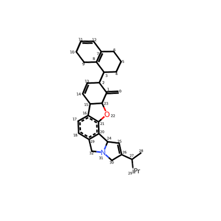 C=C1C(C2CCCC3=C2CCC=C3)C=CC2c3ccc4c(c3OC12)C1C=C(C(C)C(C)C)CN1C4